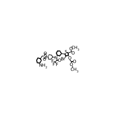 CCOC(=O)COc1c(C(=O)OC)sc(-c2cccc(N(C(=O)C(F)(F)F)C3CCN(S(=O)(=O)Cc4cccc(N)c4)CC3)c2)c1Br